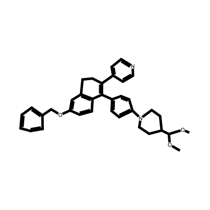 COC(OC)C1CCN(c2ccc(C3=C(c4ccncc4)CCc4cc(OCc5ccccc5)ccc43)cc2)CC1